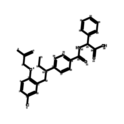 C=C(C)COc1ccc(Cl)cc1CN(CC)c1ccc(C(=O)NC(C(=O)O)c2ccccc2)nn1